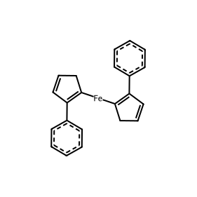 C1=CC(c2ccccc2)=[C]([Fe][C]2=C(c3ccccc3)C=CC2)C1